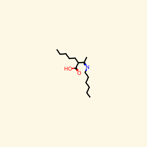 CCCCCCN=C(C)C(CCCCC)C(=O)O